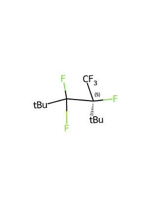 CC(C)(C)C(F)(F)[C@@](F)(C(C)(C)C)C(F)(F)F